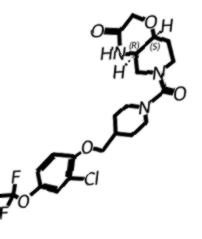 O=C1CO[C@H]2CCN(C(=O)N3CCC(COc4ccc(OC(F)(F)F)cc4Cl)CC3)C[C@H]2N1